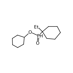 CCC1([PH](=O)OC2CCCCC2)CCCCC1